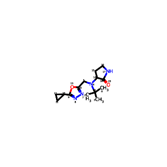 CC(C)(C)N(Cc1nnc(C2CC2)o1)C1CCNC1=O